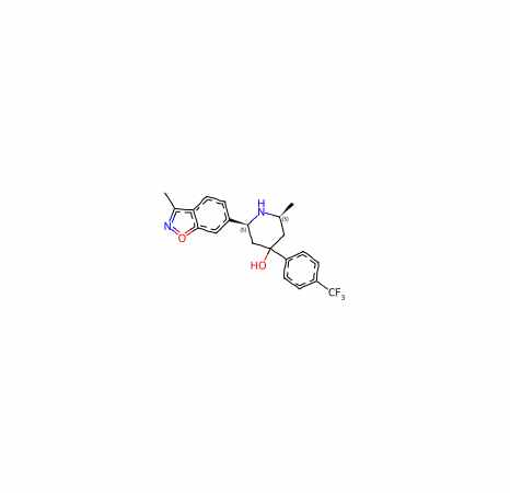 Cc1noc2cc([C@@H]3CC(O)(c4ccc(C(F)(F)F)cc4)C[C@H](C)N3)ccc12